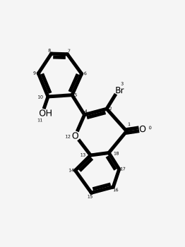 O=c1c(Br)c(-c2ccccc2O)oc2ccccc12